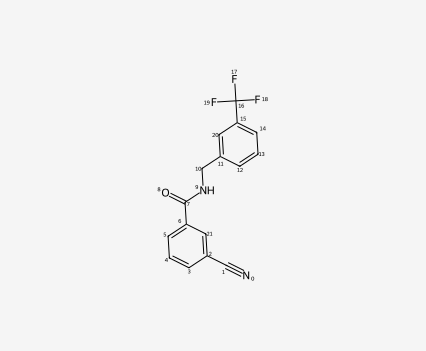 N#Cc1cccc(C(=O)NCc2cccc(C(F)(F)F)c2)c1